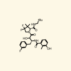 Cc1c(O)cccc1C(=O)N[C@@H](Cc1cccc(F)c1)C(O)C(=O)N1CC(F)(F)C(C)(C)[C@H]1C(=O)NCC(C)(C)C